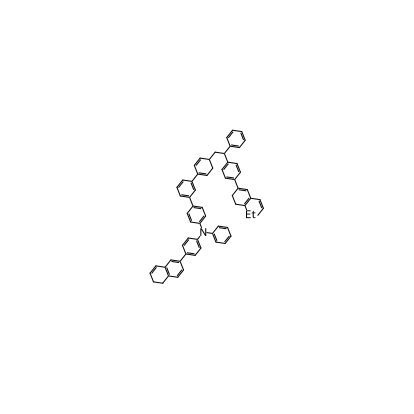 C/C=C\C1=C(CC)CCC(c2ccc(C(CC3C=CC(c4cccc(-c5ccc(N(c6ccccc6)c6ccc(-c7ccc8c(c7)C=CCC8)cc6)cc5)c4)=CC3)c3ccccc3)cc2)=C1